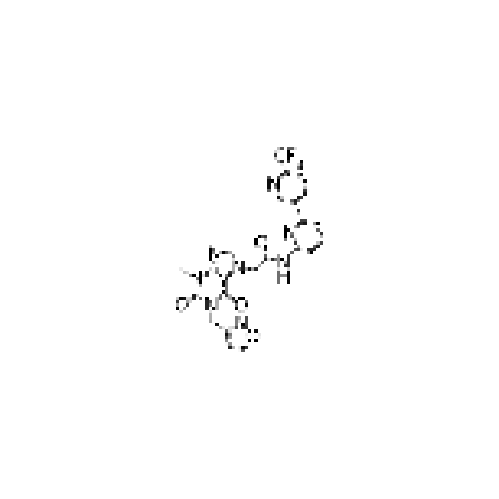 C[C@@H](C(=O)Nc1cccc(-c2ccc(C(F)(F)F)nc2)n1)n1cnc2c1c(=O)n(Cc1ccon1)c(=O)n2C